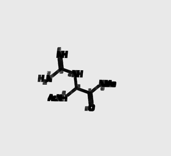 CNC(=O)C(NC(=N)N)NC(C)=O